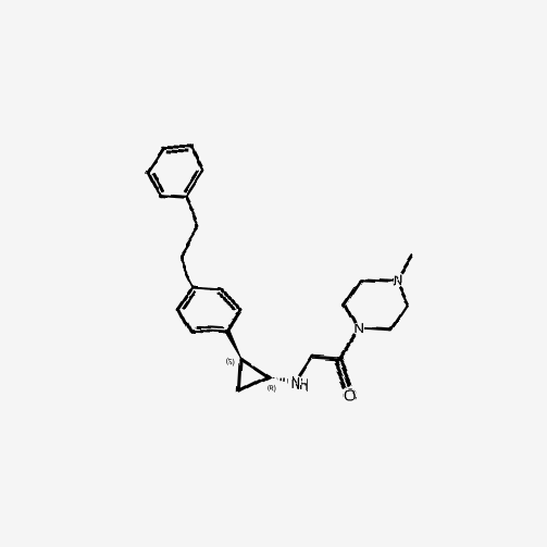 CN1CCN(C(=O)CN[C@@H]2C[C@H]2c2ccc(CCc3ccccc3)cc2)CC1